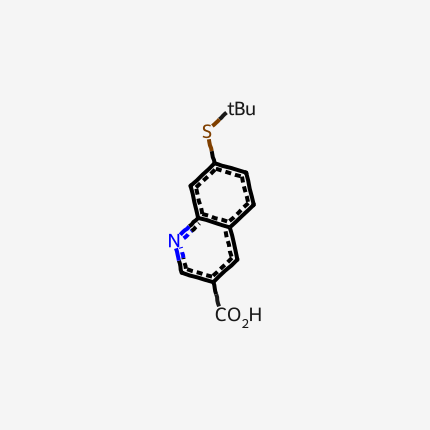 CC(C)(C)Sc1ccc2cc(C(=O)O)cnc2c1